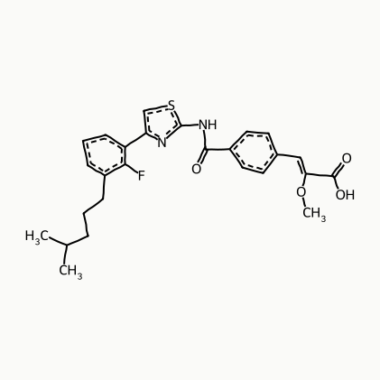 COC(=Cc1ccc(C(=O)Nc2nc(-c3cccc(CCCC(C)C)c3F)cs2)cc1)C(=O)O